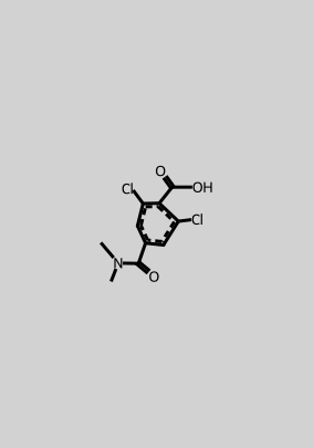 CN(C)C(=O)c1cc(Cl)c(C(=O)O)c(Cl)c1